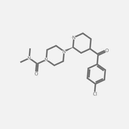 CN(C)C(=O)N1CCN([C@@H]2CC(C(=O)c3ccc(Cl)cc3)CC[N]2)CC1